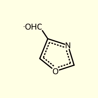 O=[C]c1cocn1